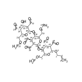 C=CCOC1OC(COP)[C@@H](O[C@@H]2OC(COP)[C@H](O[C@H]3OC(COP)[C@H](P=O)[C@H](O)C3P=O)[C@H](P=O)C2P=O)[C@H](P=O)C1P=O